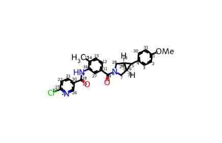 COc1ccc(C2[C@H]3CN(C(=O)c4ccc(C)c(NC(=O)c5ccc(Cl)nc5)c4)C[C@@H]23)cc1